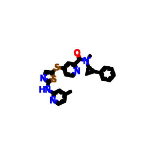 Cc1ccnc(Nc2ncc(Sc3ccnc(C(=O)N(C)C4CC4c4ccccc4)c3)s2)c1